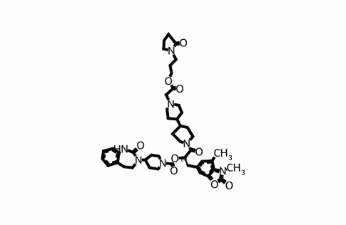 Cc1cc(C[C@@H](OC(=O)N2CCC(N3CCc4ccccc4NC3=O)CC2)C(=O)N2CCC(C3CCN(CC(=O)OCCCN4CCCC4=O)CC3)CC2)cc2oc(=O)n(C)c12